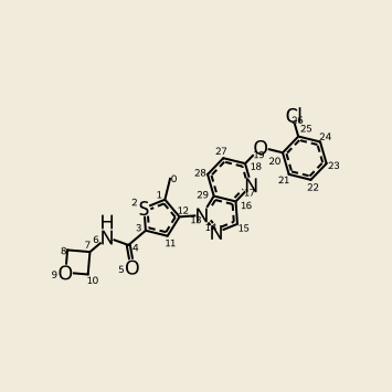 Cc1sc(C(=O)NC2COC2)cc1-n1ncc2nc(Oc3ccccc3Cl)ccc21